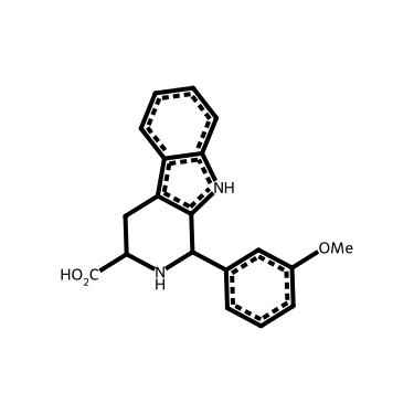 COc1cccc(C2NC(C(=O)O)Cc3c2[nH]c2ccccc32)c1